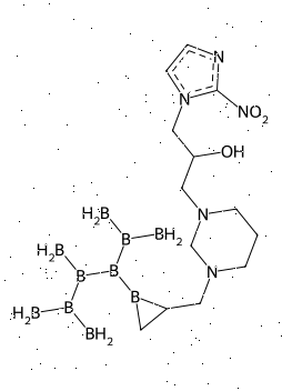 BB(B)B(B)B(B(B)B)B1CC1CN1CCCN(CC(O)Cn2ccnc2[N+](=O)[O-])C1